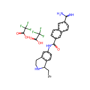 CC(C)CC1NCCc2cc(NC(=O)c3ccc4cc(C(=N)N)ccc4c3)ccc21.O=C(O)C(F)(F)F.O=C(O)C(F)(F)F